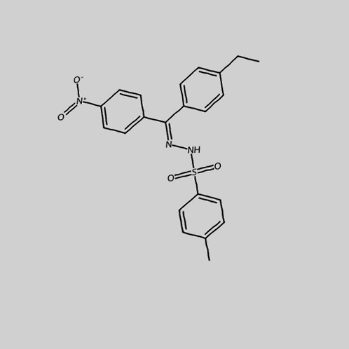 CCc1ccc(/C(=N\NS(=O)(=O)c2ccc(C)cc2)c2ccc([N+](=O)[O-])cc2)cc1